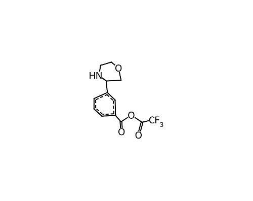 O=C(OC(=O)C(F)(F)F)c1cccc(C2COCCN2)c1